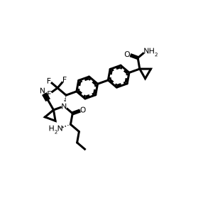 CCC[C@H](N)C(=O)N([C@@H](c1ccc(-c2ccc(C3(C(N)=O)CC3)cc2)cc1)C(F)(F)F)C1(C#N)CC1